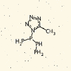 Cc1nnnn1P(P)PP